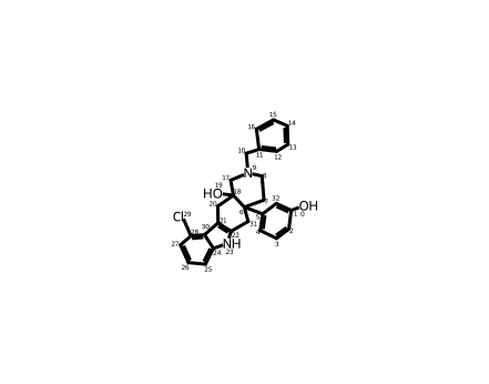 Oc1cccc(C23CCN(Cc4ccccc4)CC2(O)Cc2c([nH]c4cccc(Cl)c24)C3)c1